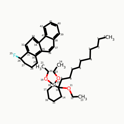 CCCCCCCCCCC1(OCC)CCCC[Si]1(OCC)OCC.FC1CCCc2c1ccc1c2ccc2ccccc21